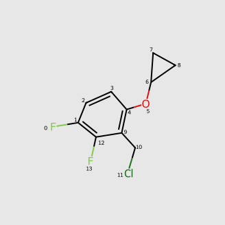 Fc1ccc(OC2CC2)c(CCl)c1F